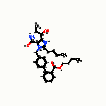 CCCCOC(=O)c1ccccc1-c1ccc(Cn2c(CCCC)nc(C(O)CC)c2C(N)=O)cc1